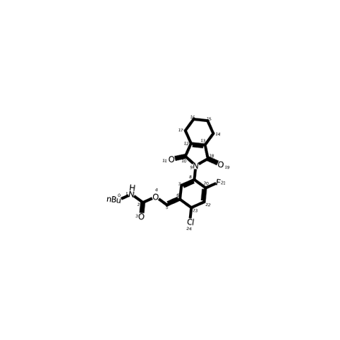 CCCCNC(=O)OC=C1C=C(N2C(=O)C3=C(CCCC3)C2=O)C(F)=CC1Cl